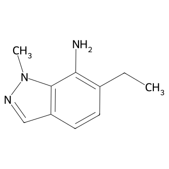 CCc1ccc2cnn(C)c2c1N